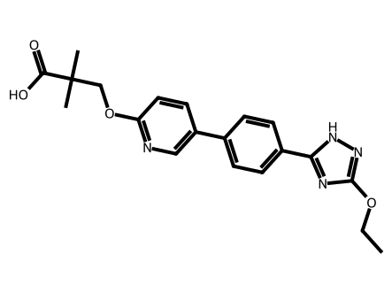 CCOc1n[nH]c(-c2ccc(-c3ccc(OCC(C)(C)C(=O)O)nc3)cc2)n1